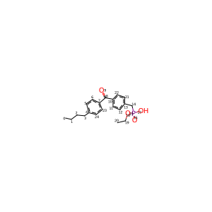 CCCCc1ccc(C(=O)c2ccc(CP(=O)(O)OCC)cc2)cc1